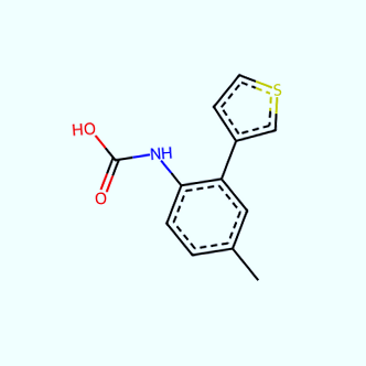 Cc1ccc(NC(=O)O)c(-c2ccsc2)c1